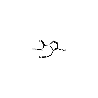 C#CCc1c(O)ccn1C(=N)OC(C)(C)C